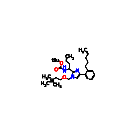 C=CCCCc1ccccc1-c1cn(COCC[Si](C)(C)C)c(C(CC=C)NC(=O)OC(C)(C)C)n1